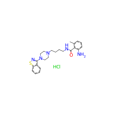 Cc1cccc(N)c1C(=O)NCCCCN1CCN(c2nsc3ccccc23)CC1.Cl